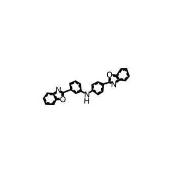 c1cc(Nc2ccc(-c3nc4ccccc4o3)cc2)cc(-c2nc3ccccc3o2)c1